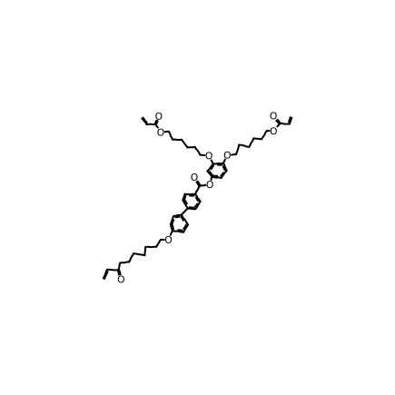 C=CC(=O)CCCCCCCOc1ccc(-c2ccc(C(=O)Oc3ccc(OCCCCCCOC(=O)C=C)c(OCCCCCCOC(=O)C=C)c3)cc2)cc1